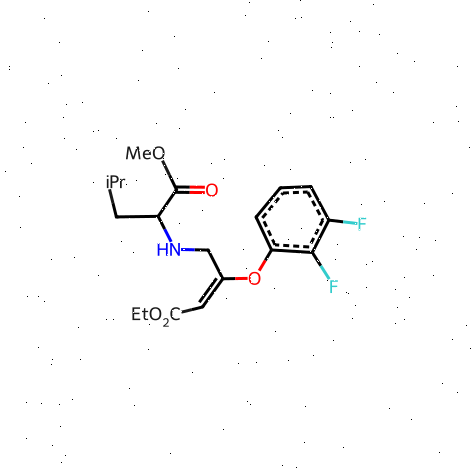 CCOC(=O)C=C(CNC(CC(C)C)C(=O)OC)Oc1cccc(F)c1F